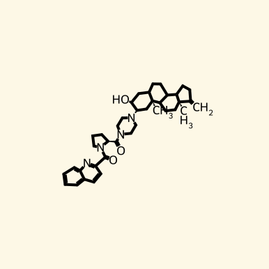 C=C1CCC2C3CCC4C[C@H](O)[C@@H](N5CCN(C(=O)[C@@H]6CCCN6C(=O)c6ccc7ccccc7n6)CC5)C[C@]4(C)C3CC[C@]12C